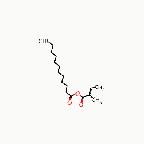 CC=C(C)C(=O)OC(=O)CCCCCCCCCCC=O